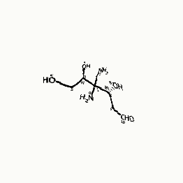 NC(N)([C@H](O)CO)[C@H](O)CC=O